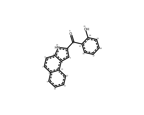 O=C(c1cc2c(ccc3ccccc32)[nH]1)c1ccccc1O